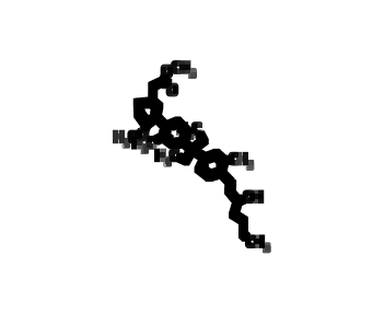 CCCCC(O)C=Cc1ccc(C(CC)(CC)c2ccc(-c3cc(CC(=O)OC)ccc3OC)c(C)c2)cc1C